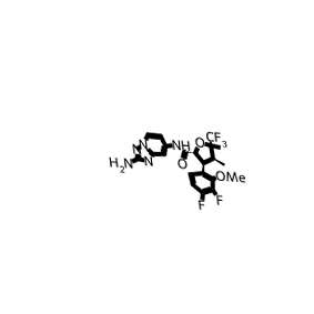 COc1c([C@H]2[C@H](C(=O)Nc3ccn4nc(N)nc4c3)O[C@@](C)(C(F)(F)F)[C@H]2C)ccc(F)c1F